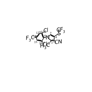 Cc1c(C#N)c(SC(F)(F)F)cn1-c1c(Cl)cc(C(F)(F)F)cc1Cl